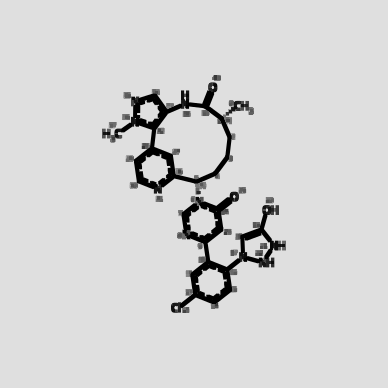 C[C@@H]1CCC[C@H](n2cnc(-c3cc(Cl)ccc3N3C=C(O)NN3)cc2=O)c2cc(ccn2)-c2c(cnn2C)NC1=O